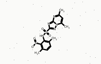 Cc1cc(C)n2nc(S(=O)(=O)Nc3c(C)ccc(C)c3[N+](=O)[O-])nc2n1